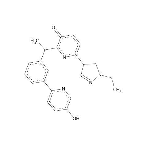 CCN1CC(n2ccc(=O)c(C(C)c3cccc(-c4ccc(O)cn4)c3)n2)C=N1